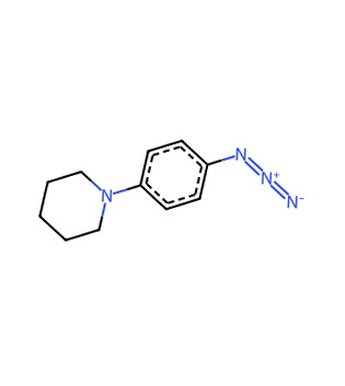 [N-]=[N+]=Nc1ccc(N2CCCCC2)cc1